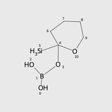 OB(O)OC1([SiH3])CCCCO1